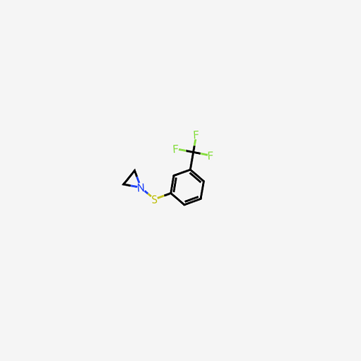 FC(F)(F)c1cccc(SN2CC2)c1